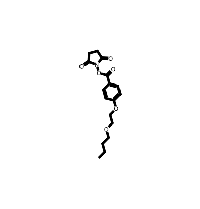 CCCCOCCOc1ccc(C(=O)ON2C(=O)CCC2=O)cc1